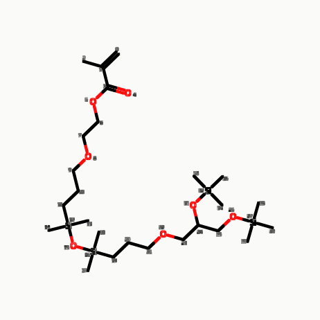 C=C(C)C(=O)OCCOCCC[Si](C)(C)O[Si](C)(C)CCCOCC(CO[Si](C)(C)C)O[Si](C)(C)C